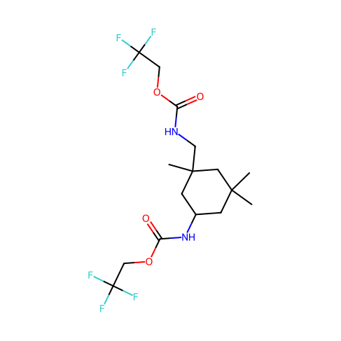 CC1(C)CC(NC(=O)OCC(F)(F)F)CC(C)(CNC(=O)OCC(F)(F)F)C1